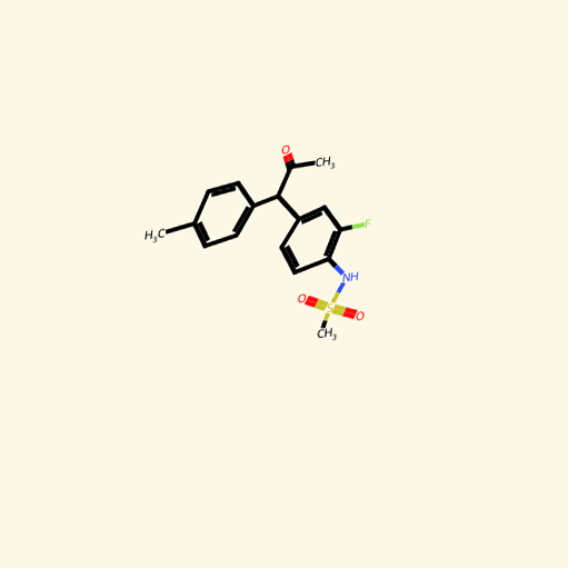 CC(=O)C(c1ccc(C)cc1)c1ccc(NS(C)(=O)=O)c(F)c1